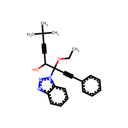 CCOC(C#Cc1ccccc1)(C(O)C#CC(C)(C)C)n1nnc2ccccc21